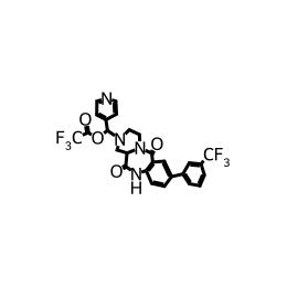 O=C1Nc2ccc(-c3cccc(C(F)(F)F)c3)cc2C(=O)N2CCN(C(OC(=O)C(F)(F)F)c3ccncc3)CC12